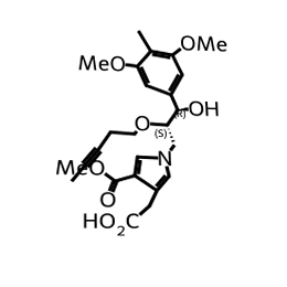 CC#CCCO[C@@H](Cn1cc(CC(=O)O)c(C(=O)OC)c1)[C@H](O)c1cc(OC)c(C)c(OC)c1